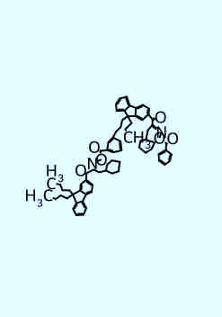 CCCCC1(CCCC)c2ccccc2-c2ccc(C(=O)/C(CC3CCCCC3)=N/OC(=O)c3cccc(CCCC4(CCC)c5ccccc5-c5ccc(C(=O)/C(CC6CCCCC6)=N/OC(=O)c6ccccc6)cc54)c3)cc21